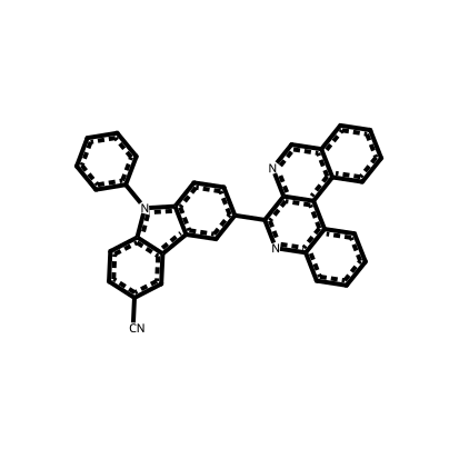 N#Cc1ccc2c(c1)c1cc(-c3nc4ccccc4c4c3ncc3ccccc34)ccc1n2-c1ccccc1